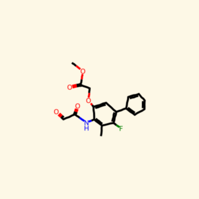 COC(=O)COc1cc(-c2ccccc2)c(F)c(C)c1NC(=O)C=O